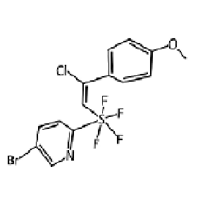 COc1ccc(/C(Cl)=C\S(F)(F)(F)(F)c2ccc(Br)cn2)cc1